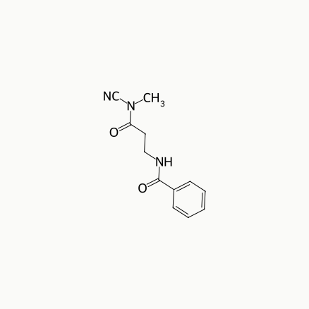 CN(C#N)C(=O)CCNC(=O)c1ccccc1